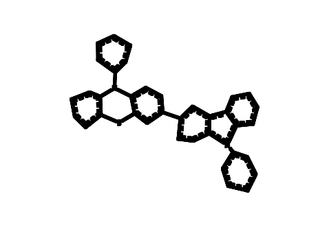 c1ccc(N2c3ccccc3Sc3cc(-c4ccc5c(c4)c4ccccc4n5-c4ccccc4)ccc32)cc1